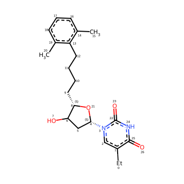 CCc1cn([C@@H]2CC(O)[C@H](CCCCc3c(C)cccc3C)O2)c(=O)[nH]c1=O